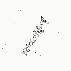 CC1(N)CCN(c2cnc3c(-c4cccc(N5CCN(Cc6cc7c(cc6F)C(=O)N(C6CCC(=O)NC6=O)C7)CC5)c4Cl)n[nH]c3n2)CC1